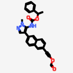 CC(OC(=O)Nc1c(-c2ccc3cc(C#COC=O)ccc3c2)cnn1C)c1ccccc1